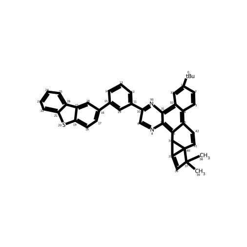 CC(C)(C)c1ccc2c3c(c4ncc(-c5cccc(-c6ccc7sc8ccccc8c7c6)c5)nc4c2c1)C1C2=CC(C)(C)C21C=C3